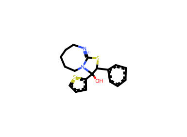 OC1(c2cccs2)C(c2ccccc2)S/C2=N/CCCCCN21